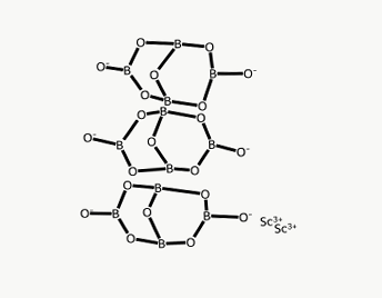 [O-]B1OB2OB([O-])OB(O1)O2.[O-]B1OB2OB([O-])OB(O1)O2.[O-]B1OB2OB([O-])OB(O1)O2.[Sc+3].[Sc+3]